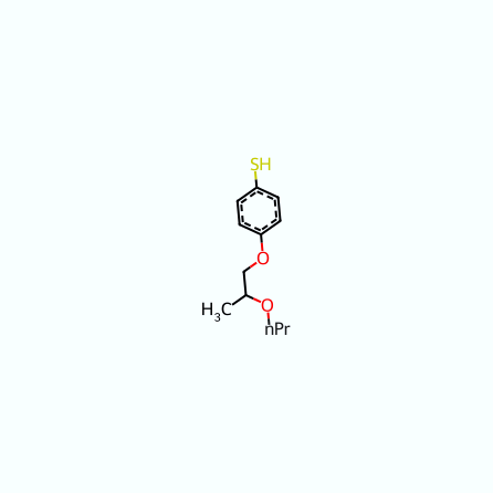 CCCOC(C)COc1ccc(S)cc1